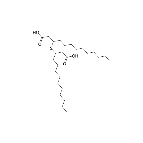 CCCCCCCCCCC(CC(=O)O)SC(CCCCCCCCCC)CC(=O)O